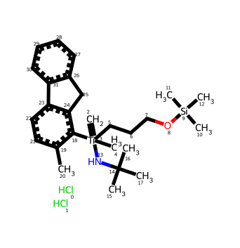 Cl.Cl.[CH2]=[Ti]([CH3])([CH2]CCO[Si](C)(C)C)([NH]C(C)(C)C)[c]1c(C)ccc2c1Cc1ccccc1-2